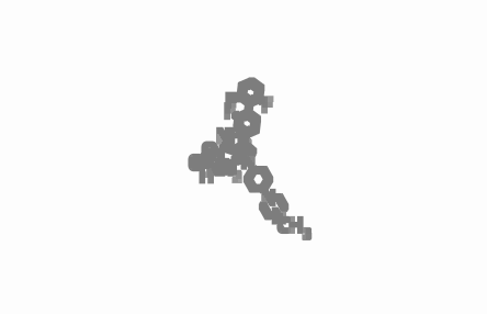 CN1CCN(C2CCC(n3cc(-c4ccc(-c5c(F)cccc5F)c(F)c4)c4c(N)ncnc43)CC2)CC1.N[SH](=O)=O